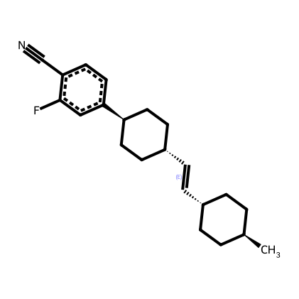 C[C@H]1CC[C@H](/C=C/[C@H]2CC[C@H](c3ccc(C#N)c(F)c3)CC2)CC1